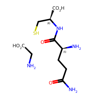 NC(=O)CC[C@H](N)C(=O)N[C@@H](CS)C(=O)O.NCC(=O)O